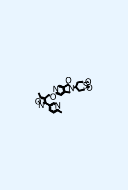 Cc1ccc(-c2noc(C)c2COc2cc3c(cn2)C(=O)N(C2CCS(=O)(=O)CC2)C3)cn1